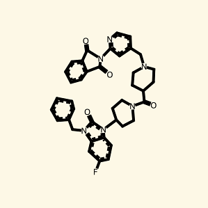 O=C(C1CCN(Cc2ccnc(N3C(=O)c4ccccc4C3=O)c2)CC1)N1CCC(n2c(=O)n(Cc3ccccc3)c3cc(F)ccc32)CC1